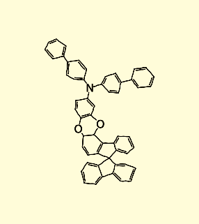 C1=CC2Oc3ccc(N(c4ccc(-c5ccccc5)cc4)c4ccc(-c5ccccc5)cc4)cc3OC2C2=C1C1(c3ccccc32)c2ccccc2-c2ccccc21